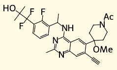 C#Cc1cc2nc(C)nc(NC(C)c3cccc(C(F)(F)C(C)(C)O)c3F)c2cc1C1(OC)CCN(C(C)=O)CC1